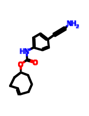 NC#Cc1ccc(NC(=O)O[C@@H]2CC/C=C/CCC2)cc1